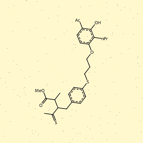 CCCc1c(OCCCSc2ccc(CC(C(C)=S)C(C)C(=O)OC)cc2)ccc(C(C)=O)c1O